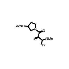 CCCC(NC)C(=O)C(=O)N1CCC(NC(C)=O)C1